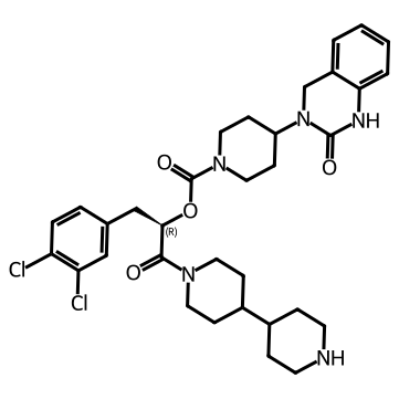 O=C(O[C@H](Cc1ccc(Cl)c(Cl)c1)C(=O)N1CCC(C2CCNCC2)CC1)N1CCC(N2Cc3ccccc3NC2=O)CC1